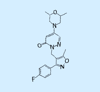 Cc1onc(-c2ccc(F)cc2)c1Cn1ncc(N2CC(C)OC(C)C2)cc1=O